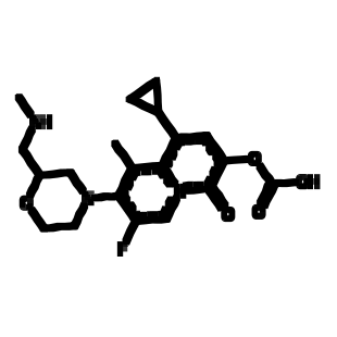 CNCC1CN(c2c(F)cn3c(=O)c(OC(=O)O)cc(C4CC4)c3c2C)CCO1